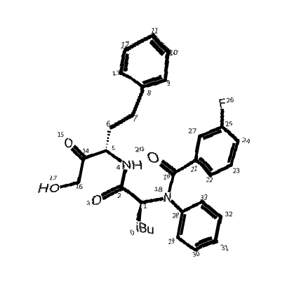 CCC(C)[C@@H](C(=O)N[C@@H](CCc1ccccc1)C(=O)CO)N(C(=O)c1cccc(F)c1)c1ccccc1